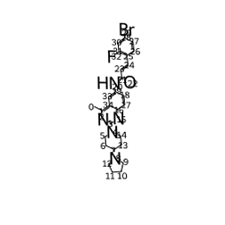 Cc1nc(N2CCC(N3CCCC3)CC2)nc2ccc(NC(=O)/C=C/c3ccc(Br)cc3F)cc12